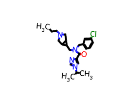 CCCN1CC2C(C1)C2CN(Cc1cccc(Cl)c1)C(=O)c1cn(C(C)C)cn1